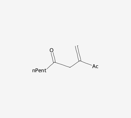 [CH]=C(CC(=O)CCCCC)C(C)=O